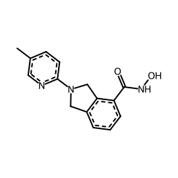 Cc1ccc(N2Cc3cccc(C(=O)NO)c3C2)nc1